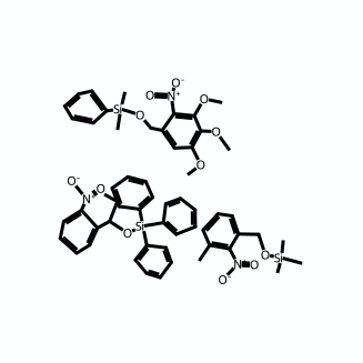 CCC(O[Si](c1ccccc1)(c1ccccc1)c1ccccc1)c1ccccc1[N+](=O)[O-].COc1cc(CO[Si](C)(C)c2ccccc2)c([N+](=O)[O-])c(OC)c1OC.Cc1cccc(CO[Si](C)(C)C)c1[N+](=O)[O-]